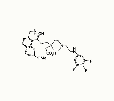 COc1ccc2ncc(CN)c([C@@H](O)CCC3(CC(=O)O)CCN(CCNc4cc(F)c(F)c(F)c4)CC3)c2c1